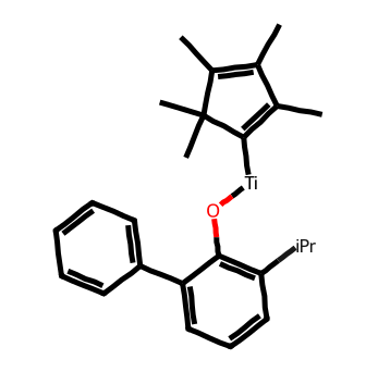 CC1=C(C)C(C)(C)[C]([Ti][O]c2c(-c3ccccc3)cccc2C(C)C)=C1C